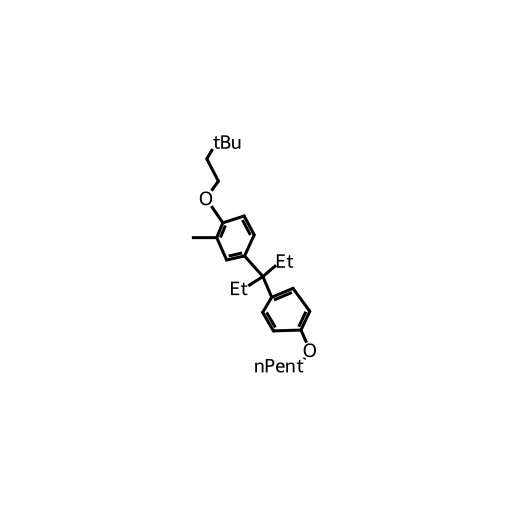 CCCCCOc1ccc(C(CC)(CC)c2ccc(OCCC(C)(C)C)c(C)c2)cc1